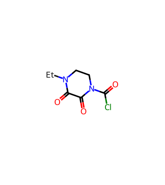 [CH2]CN1CCN(C(=O)Cl)C(=O)C1=O